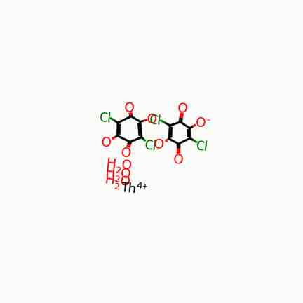 O.O.O.O=C1C([O-])=C(Cl)C(=O)C([O-])=C1Cl.O=C1C([O-])=C(Cl)C(=O)C([O-])=C1Cl.[Th+4]